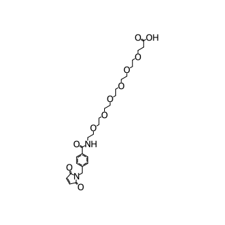 O=C(O)CCOCCOCCOCCOCCOCCOCCNC(=O)c1ccc(CN2C(=O)C=CC2=O)cc1